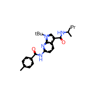 Cc1ccc(C(=O)Nc2ccc3c(C(=O)NC(C)C(C)C)cn(C(C)(C)C)c3n2)cc1